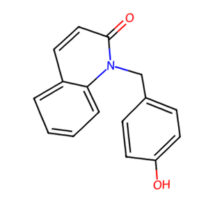 O=c1ccc2ccccc2n1Cc1ccc(O)cc1